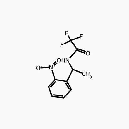 CC(NC(=O)C(F)(F)F)c1ccccc1[N+](=O)[O-]